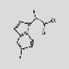 CCC(=O)C(C)n1ccc2cc(C)ccc21